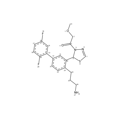 COCC(=O)N1N=CSC1c1cc(-c2cc(F)ccc2F)ccc1CCCN